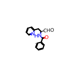 O=C[C@H](Cc1ccccn1)NC(=O)c1[c]cccc1